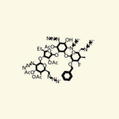 CC[C@H]1O[C@@H](O[C@H]2[C@H](O[C@H]3O[C@H](CN=[N+]=[N-])[C@@H](C)[C@H](F)[C@H]3OCc3ccccc3)[C@@H](N=[N+]=[N-])[C@H](O)[C@@H](N=[N+]=[N-])[C@@H]2OC(C)=O)[C@H](OC(C)=O)[C@@H]1O[C@H]1O[C@@H](CN=[N+]=[N-])[C@@H](OC(C)=O)[C@H](OC(C)=O)[C@H]1N=[N+]=[N-]